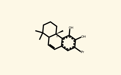 CC(C)c1cc2c(c(O)c1O)[C@@]1(C)CCCC(C)(C)C1C=C2